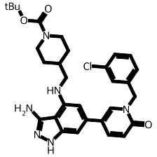 CC(C)(C)OC(=O)N1CCC(CNc2cc(-c3ccc(=O)n(Cc4cccc(Cl)c4)c3)cc3[nH]nc(N)c23)CC1